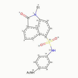 CCN1C(=O)c2cccc3c(S(=O)(=O)Nc4ccc(NC(C)=O)cc4)ccc1c23